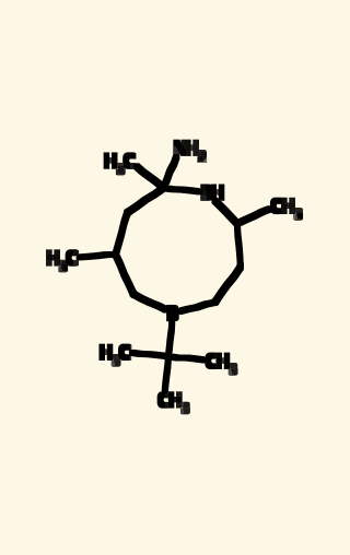 CC1BC(C)(N)CC(C)CB(C(C)(C)C)CC1